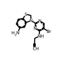 C#CCNc1nc(N2CSc3ccc(N)cc32)ncc1Br